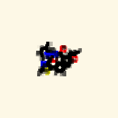 Cc1cc2c(C(=O)NCC3C(C)CCCN3C(=O)c3nc(C)sc3-c3ccccc3)cccc2o1